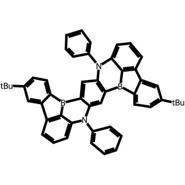 CC(C)(C)c1ccc2c(c1)-c1cccc3c1B2c1cc2c(cc1N3c1ccccc1)B1c3ccc(C(C)(C)C)cc3-c3cccc(c31)N2c1ccccc1